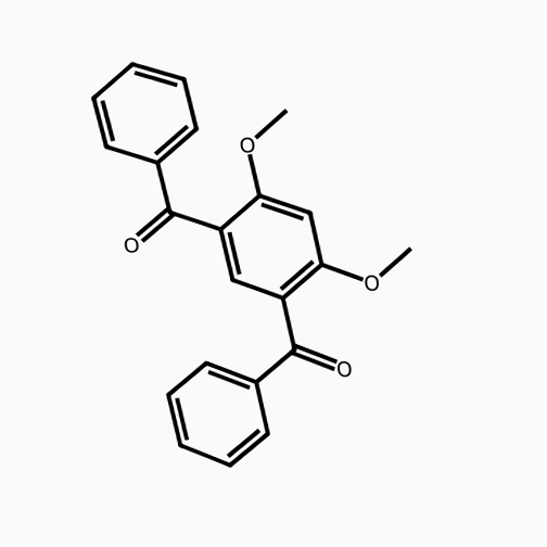 COc1cc(OC)c(C(=O)c2ccccc2)cc1C(=O)c1ccccc1